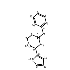 c1ccc(CN2CCOC(c3cccs3)C2)cc1